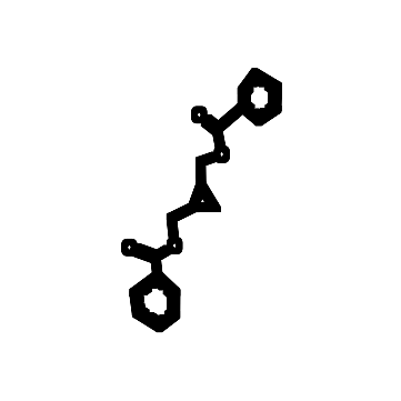 O=C(OCC1CC1COC(=O)c1ccccc1)c1ccccc1